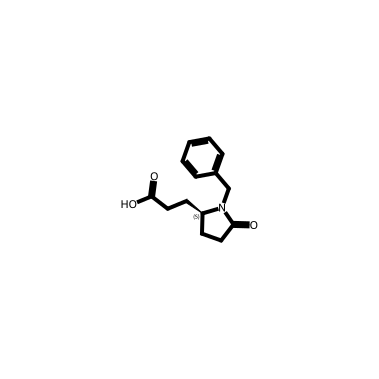 O=C(O)CC[C@@H]1CCC(=O)N1Cc1ccccc1